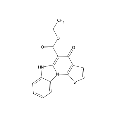 CCOC(=O)c1c(=O)c2ccsc2n2c1[nH]c1ccccc12